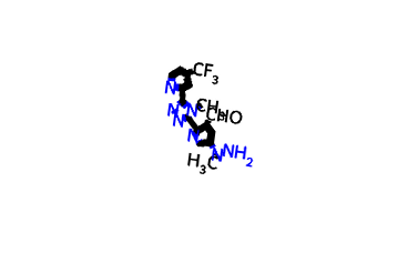 CN(N)c1cnc(-c2nnc(-c3cc(C(F)(F)F)ccn3)n2C)c(C=O)c1